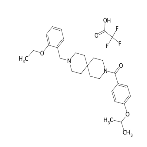 CCOc1ccccc1CN1CCC2(CC1)CCN(C(=O)c1ccc(OC(C)C)cc1)CC2.O=C(O)C(F)(F)F